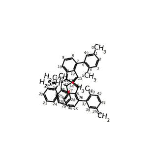 Cc1ccc(C)c(-c2cccc3c2C=C[CH]3[Hf]([CH3])([CH3])(=[SiH2])([c]2ccccc2)([c]2ccccc2)[CH]2C=Cc3c(-c4cc(C)ccc4C)cccc32)c1